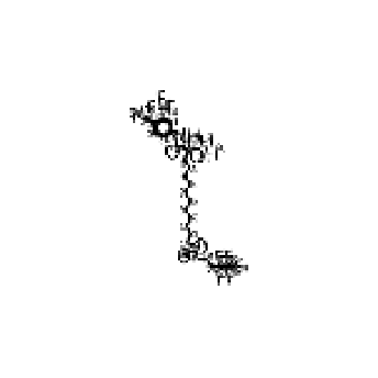 C[C@](O)(CCCCCCCCCCCS(=O)(=O)CCCC(F)(F)C(F)(F)F)C(=O)Nc1ccc(C#N)c(C(F)(F)F)c1